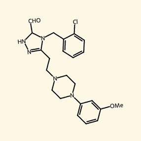 COc1cccc(N2CCN(CCC3=NNC(C=O)N3Cc3ccccc3Cl)CC2)c1